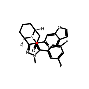 Cn1nc2c(c1-c1cc(F)cc(F)c1)C[C@@H]1CCC[C@H]2N1C(=O)c1cc2occc2cn1